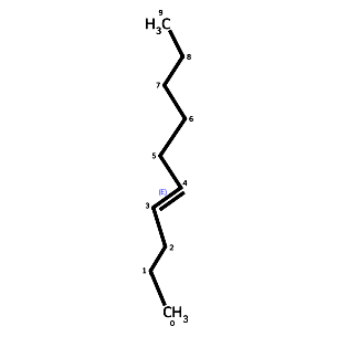 C[CH]C/C=C/CCCCC